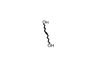 OCCCCCC#CCCCCCO